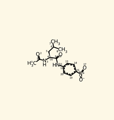 CC(=O)N[C@@H](CC(C)C)C(=O)Nc1ccc([N+](=O)[O-])cc1